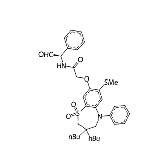 CCCCC1(CCCC)CN(c2ccccc2)c2cc(SC)c(OCC(=O)N[C@@H](C=O)c3ccccc3)cc2S(=O)(=O)C1